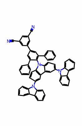 N#Cc1cc(C#N)cc(-c2cc(-c3ccccc3)c(-n3c4ccc(-n5c6ccccc6c6ccccc65)cc4c4cc(-n5c6ccccc6c6ccccc65)ccc43)c(-c3ccccc3)c2)c1